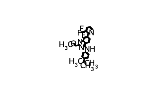 COCc1nc(Nc2ccc(C(C)(C)C)cc2)c2ccc(-c3ncccc3C(F)(F)F)cc2n1